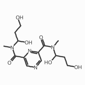 CN(C(=O)c1cncc(C(=O)N(C)C(O)CCO)n1)C(O)CCO